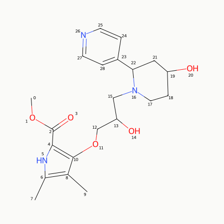 COC(=O)c1[nH]c(C)c(C)c1OCC(O)CN1CCC(O)CC1c1ccncc1